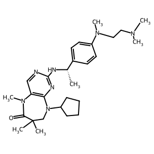 C[C@H](Nc1ncc2c(n1)N(C1CCCC1)CC(C)(C)C(=O)N2C)c1ccc(N(C)CCN(C)C)cc1